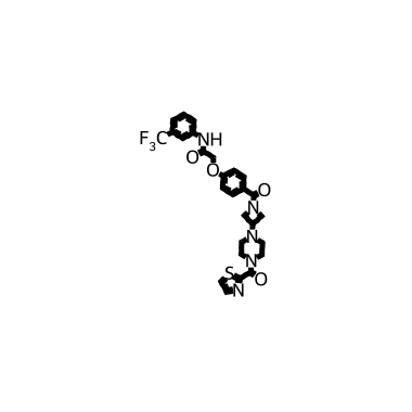 O=C(COc1ccc(C(=O)N2CC(N3CCN(C(=O)c4nccs4)CC3)C2)cc1)Nc1cccc(C(F)(F)F)c1